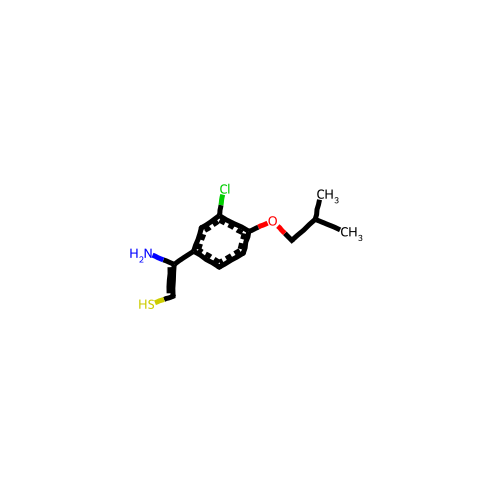 CC(C)COc1ccc(/C(N)=C/S)cc1Cl